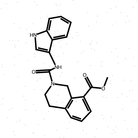 COC(=O)c1cccc2c1CN(C(=O)Nc1c[nH]c3ccccc13)CC2